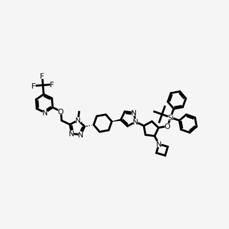 Cn1c(COc2cc(C(F)(F)F)ccn2)nnc1[C@H]1CC[C@H](c2cnn(C3CC(O[Si](c4ccccc4)(c4ccccc4)C(C)(C)C)C(N4CCC4)C3)c2)CC1